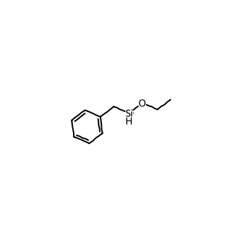 CCO[SiH]Cc1ccccc1